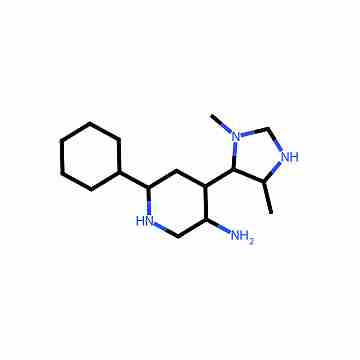 CC1NCN(C)C1C1CC(C2CCCCC2)NCC1N